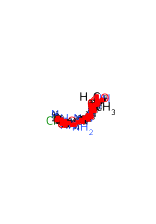 CNC(=O)C(CCC=O)N(C)C(=O)c1ccc(N2CCN(CC3CCN(/C(N)=C/C=C(\N)NC(=O)N4CCC(Oc5ccc(C#N)c(Cl)c5)CC4)CC3)CC2)cc1C=O